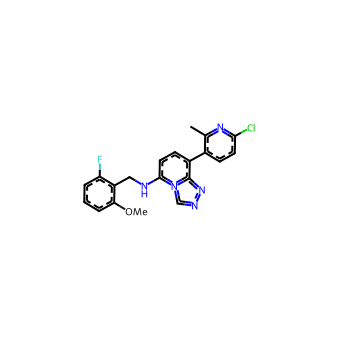 COc1cccc(F)c1CNc1ccc(-c2ccc(Cl)nc2C)c2nncn12